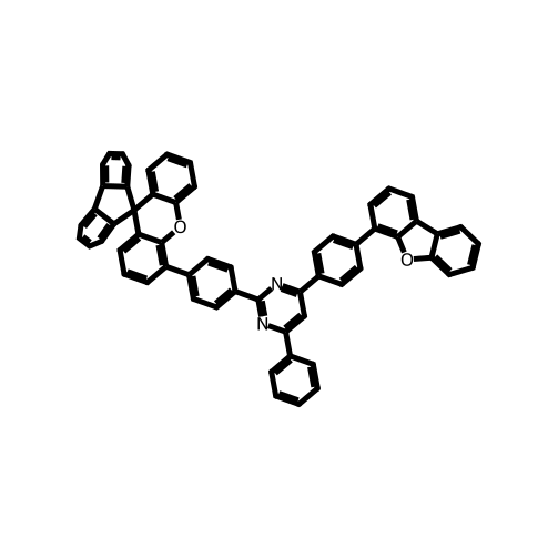 c1ccc(-c2cc(-c3ccc(-c4cccc5c4oc4ccccc45)cc3)nc(-c3ccc(-c4cccc5c4Oc4ccccc4C54c5ccccc5-c5ccccc54)cc3)n2)cc1